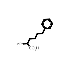 CCCC(CCCCc1ccccc1)C(=O)O